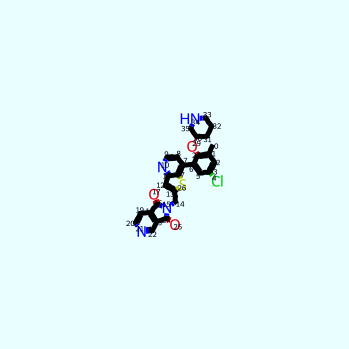 Cc1cc(Cl)cc(-c2ccnc3cc(CN4C(=O)c5ccncc5C4=O)sc23)c1O[C@H]1CCCNC1